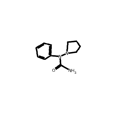 NC(=O)N(c1ccccc1)N1CCCC1